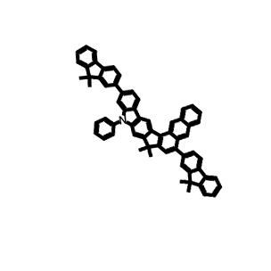 CC1(C)c2ccccc2-c2ccc(-c3ccc4c5cc6c(cc5n(-c5ccccc5)c4c3)C(C)(C)c3cc(-c4ccc5c(c4)C(C)(C)c4ccccc4-5)c4cc5ccccc5cc4c3-6)cc21